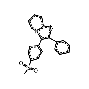 CS(=O)(=O)c1ccc(-c2c(-c3ccccc3)nc3ccccn23)cc1